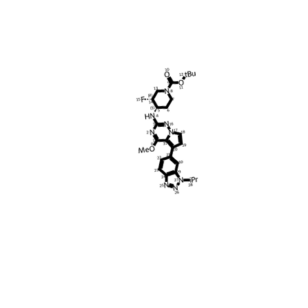 COc1nc(N[C@H]2CCN(C(=O)OC(C)(C)C)C[C@H]2F)nn2ccc(-c3ccc4nnn(C(C)C)c4c3)c12